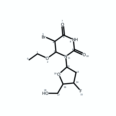 CCOC1C(Br)C(=O)NC(=O)N1C1CC(F)C(CO)O1